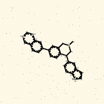 CN1Cc2cc(-c3ccc4cncnc4c3)ccc2C(c2ccc3[nH]ccc3c2)C1